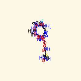 CC(C)C[C@H]1NC(=O)[C@@H](CC(N)=O)NC(=O)[C@@H](NC(=O)COCCOCCOCCNC(=O)CCCCC2SC[C@H]3NC(=O)N[C@@H]23)Cc2cn(nn2)CCCC[C@@H](C(N)=O)NC(=O)[C@H](Cc2ccc(F)cc2)NC(=O)[C@H](Cc2cn(C)c3ccccc23)NC(=O)[C@@H](C)NC1=O